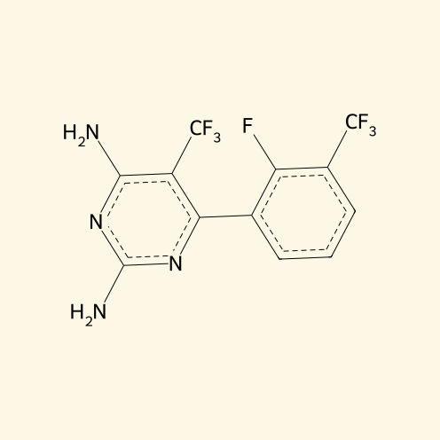 Nc1nc(N)c(C(F)(F)F)c(-c2cccc(C(F)(F)F)c2F)n1